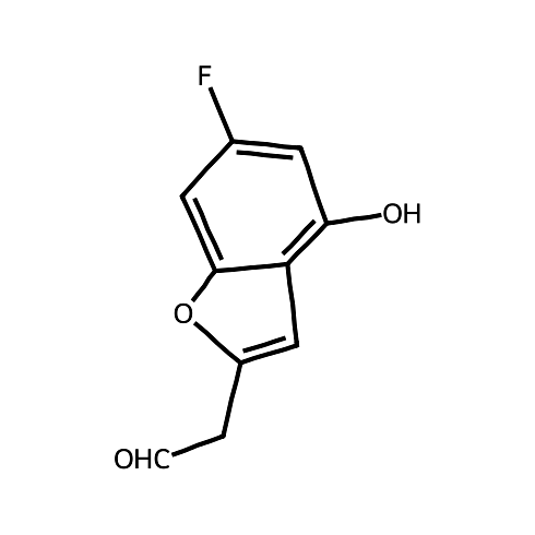 O=CCc1cc2c(O)cc(F)cc2o1